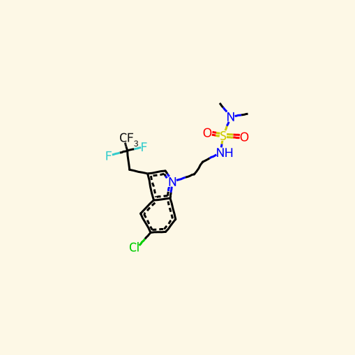 CN(C)S(=O)(=O)NCCn1cc(CC(F)(F)C(F)(F)F)c2cc(Cl)ccc21